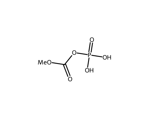 COC(=O)OP(=O)(O)O